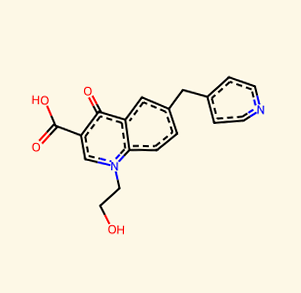 O=C(O)c1cn(CCO)c2ccc(Cc3ccncc3)cc2c1=O